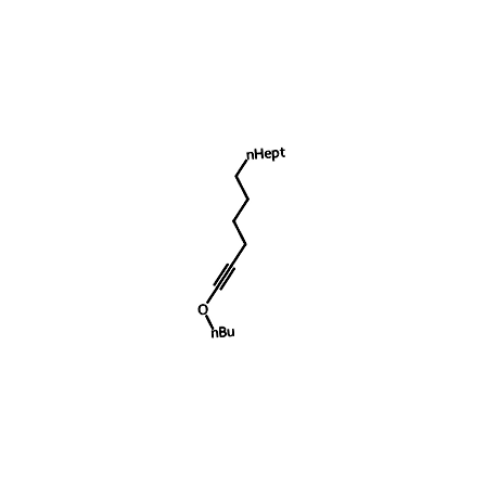 [CH2]CCCOC#CCCCCCCCCCCC